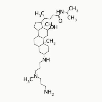 CC(C)NC(=O)CC[C@@H](C)C1CCC2C3CCC4C[C@@H](NCCCN(C)CCCN)CC[C@]4(C)C3C[C@H](O)[C@@]21C